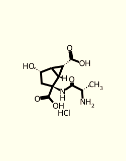 C[C@H](N)C(=O)N[C@@]1(C(=O)O)C[C@H](O)C2[C@H](C(=O)O)[C@H]21.Cl